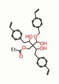 C=Cc1ccc(COC(O)C(COC(=O)CC)(C(O)Cc2ccc(C=C)cc2)C(O)Cc2ccc(C=C)cc2)cc1